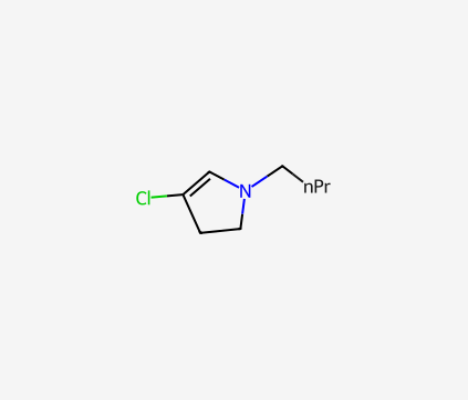 CCCCN1C=C(Cl)CC1